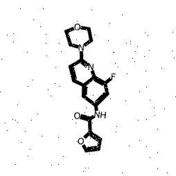 O=C(Nc1cc(F)c2nc(N3CCOCC3)ccc2c1)c1ccco1